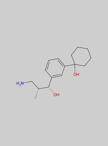 C[C@H](CN)[C@@H](O)c1cccc(C2(O)CCCCC2)c1